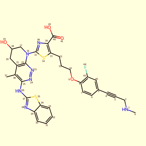 CNCC#Cc1ccc(OCCCc2sc(N3CC(O)Cc4c3nnc(Nc3nc5ccccc5s3)c4C)nc2C(=O)O)c(F)c1